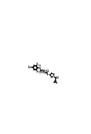 O=C(C[C@@H]1CCN(C(=O)C2CC2)C1)NNC(=O)Nc1c(F)cc(Br)cc1F